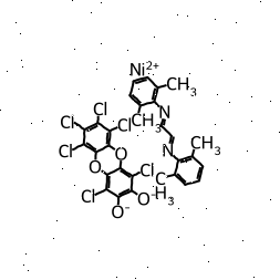 Cc1cccc(C)c1N=CC=Nc1c(C)cccc1C.[Ni+2].[O-]c1c([O-])c(Cl)c2c(c1Cl)Oc1c(Cl)c(Cl)c(Cl)c(Cl)c1O2